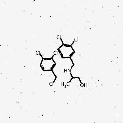 CC(CO)NCc1ccc(Cl)c(Cl)c1.ClCc1ccc(Cl)c(Cl)c1